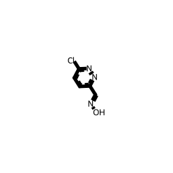 ON=Cc1ccc(Cl)nn1